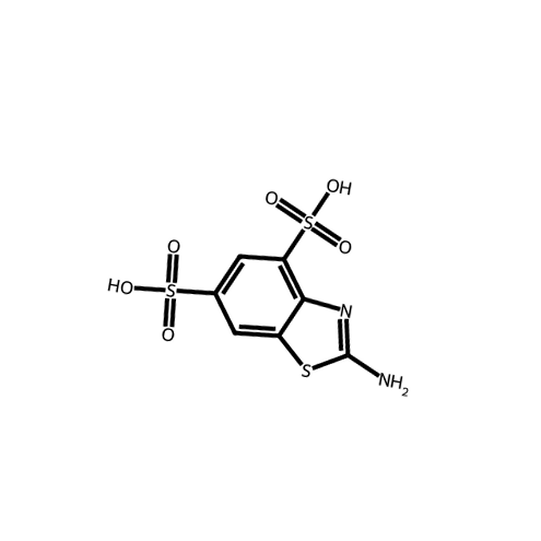 Nc1nc2c(S(=O)(=O)O)cc(S(=O)(=O)O)cc2s1